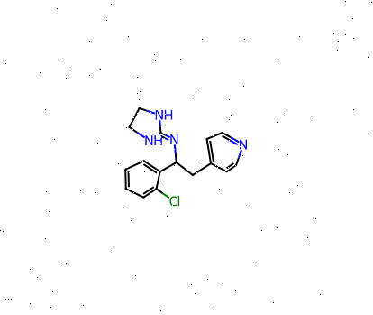 Clc1ccccc1C(Cc1ccncc1)N=C1NCCN1